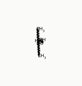 CCCCCCCCCCCCC(CO)CCCCCCCCCC.CCO